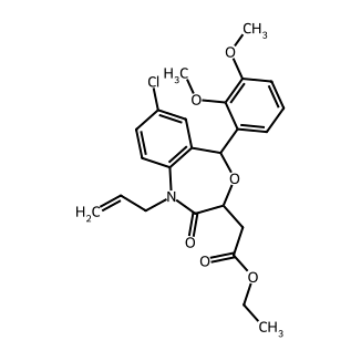 C=CCN1C(=O)C(CC(=O)OCC)OC(c2cccc(OC)c2OC)c2cc(Cl)ccc21